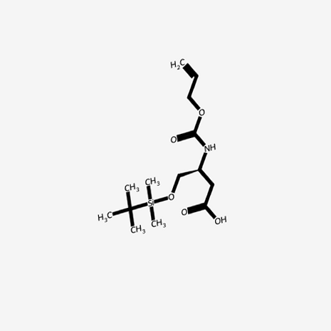 C=CCOC(=O)N[C@H](CO[Si](C)(C)C(C)(C)C)CC(=O)O